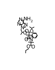 CCCOC(=O)C(C)(C)/N=[P+](\[O-])C(COC(C)Cn1cnc2c(N)ncnc21)(C(=O)OC(C)C)c1ccccc1